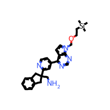 C[Si](C)(C)CCOCn1ccc2c(-c3ccnc(C4(CN)Cc5ccccc5C4)c3)ncnc21